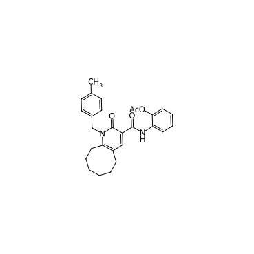 CC(=O)Oc1ccccc1NC(=O)c1cc2c(n(Cc3ccc(C)cc3)c1=O)CCCCCC2